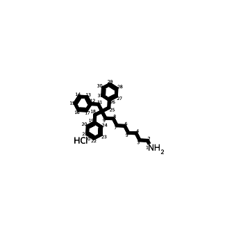 Cl.NCCCCCCCCC(Cc1ccccc1)(Cc1ccccc1)Cc1ccccc1